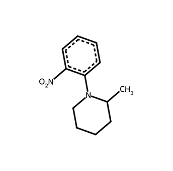 CC1CCCCN1c1ccccc1[N+](=O)[O-]